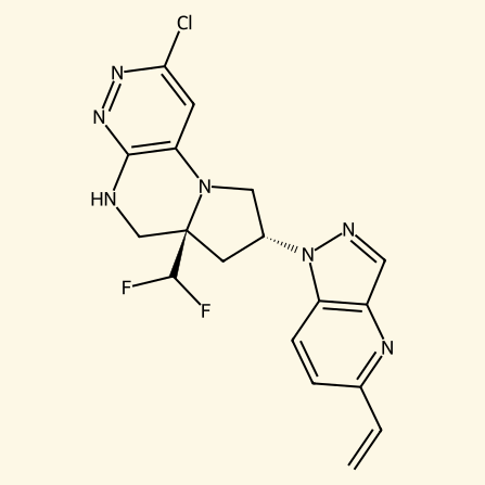 C=Cc1ccc2c(cnn2[C@H]2CN3c4cc(Cl)nnc4NC[C@@]3(C(F)F)C2)n1